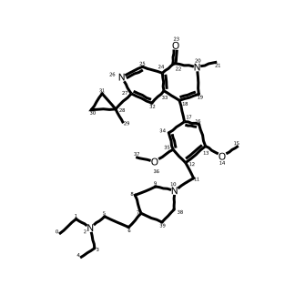 CCN(CC)CCC1CCN(Cc2c(OC)cc(-c3cn(C)c(=O)c4cnc(C5(C)CC5)cc34)cc2OC)CC1